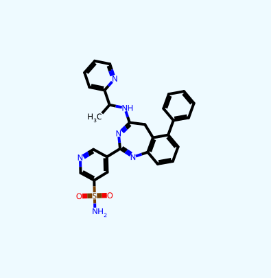 CC(NC1=NC(c2cncc(S(N)(=O)=O)c2)=Nc2cccc(-c3ccccc3)c2C1)c1ccccn1